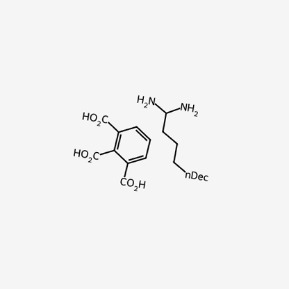 CCCCCCCCCCCCCC(N)N.O=C(O)c1cccc(C(=O)O)c1C(=O)O